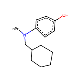 CCCN(CC1CCCCC1)c1ccc(O)cc1